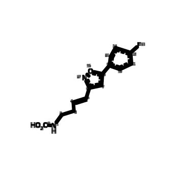 O=C(O)NCCC=Cc1cc(-c2ccc(F)cc2)on1